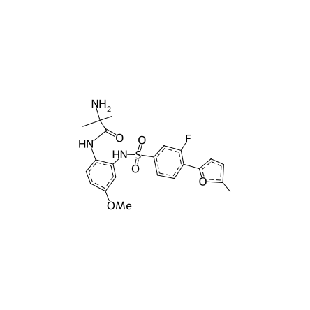 COc1ccc(NC(=O)C(C)(C)N)c(NS(=O)(=O)c2ccc(-c3ccc(C)o3)c(F)c2)c1